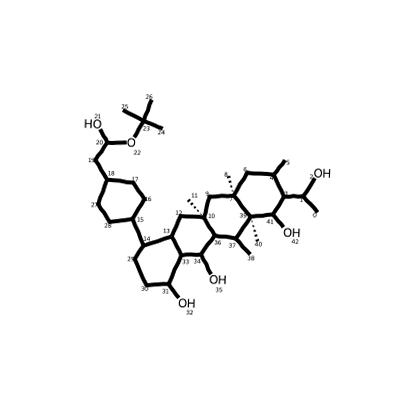 CC(O)C1C(C)C[C@]2(C)C[C@]3(C)CC4C(C5CCC(CC(O)OC(C)(C)C)CC5)CCC(O)C4C(O)C3C(C)[C@]2(C)C1O